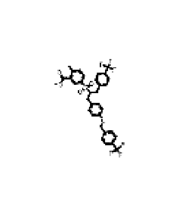 Cc1ccc(S(=O)(=O)C(Cc2ccc(OCc3ccc(C(F)(F)F)cc3)cc2)Cc2ccc(C(F)(F)F)cc2)cc1C(=O)O